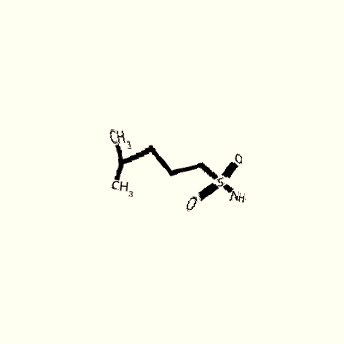 CC(C)CCCS([NH])(=O)=O